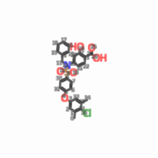 Cc1cc(Oc2ccc(S(=O)(=O)N(Cc3ccccc3)c3ccc(C(=O)O)c(O)c3)cc2)cc(C)c1Cl